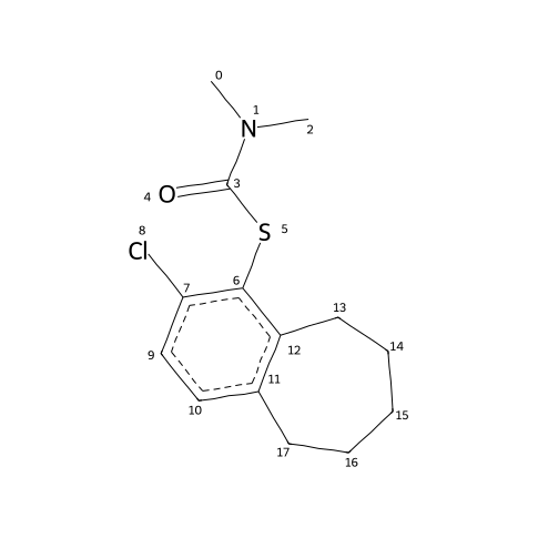 CN(C)C(=O)Sc1c(Cl)ccc2c1CCCCC2